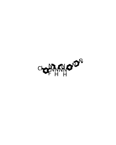 CN(C)C1CCN(c2ccc(Nc3nccc(Nc4ccnc(-c5cc(Cl)ccc5F)n4)n3)cc2)CC1